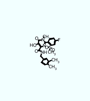 Cc1ccc(CNC(=O)c2nc(-c3ccc(F)cc3S(C)(=O)=O)n(C)c(=O)c2O)cc1C